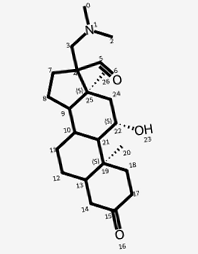 CN(C)CC1(C=O)CCC2C3CCC4CC(=O)CC[C@]4(C)C3[C@@H](O)C[C@@]21C